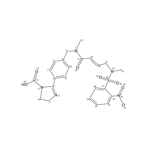 CN(Cc1ccc(C2=NCCN2C(=O)O)cc1)C(=O)/C=C/CN(C)S(=O)(=O)c1ccccc1[N+](=O)[O-]